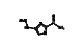 CNNn1cnc(C(N)=O)n1